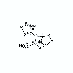 CN1C2CCC1C(c1ccc[nH]1)C(C(=O)O)C2